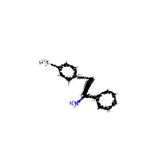 Cc1ccc(C=C(N)c2ccccc2)cc1